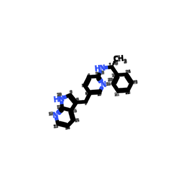 C[C@@H](Nc1ccc(Cc2c[nH]c3ncccc23)cn1)c1ccccc1